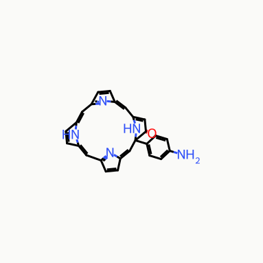 Nc1ccc(C23C=C4C=CC(=N4)C=c4ccc([nH]4)=CC4=NC(=CC(=CC2=O)N3)C=C4)cc1